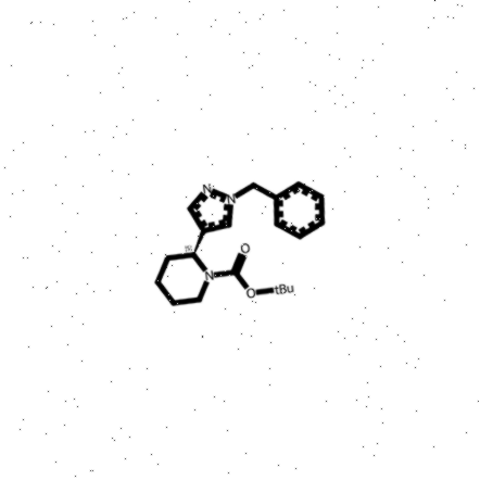 CC(C)(C)OC(=O)N1CCCC[C@H]1c1cnn(Cc2ccccc2)c1